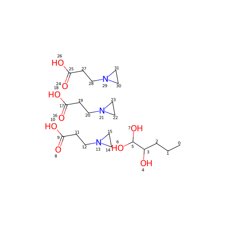 CCCC(O)C(O)O.O=C(O)CCN1CC1.O=C(O)CCN1CC1.O=C(O)CCN1CC1